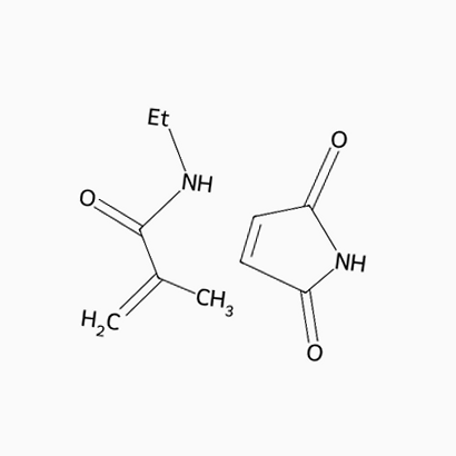 C=C(C)C(=O)NCC.O=C1C=CC(=O)N1